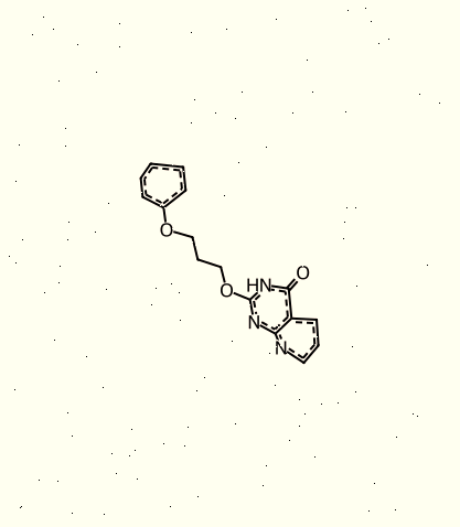 O=c1[nH]c(OCCCOc2ccccc2)nc2ncccc12